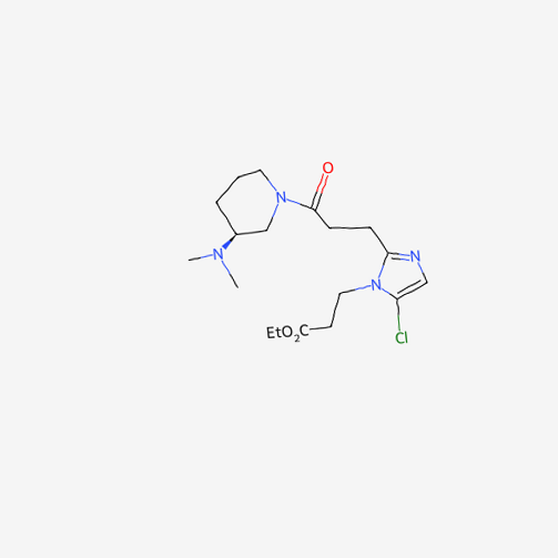 CCOC(=O)CCn1c(Cl)cnc1CCC(=O)N1CCC[C@H](N(C)C)C1